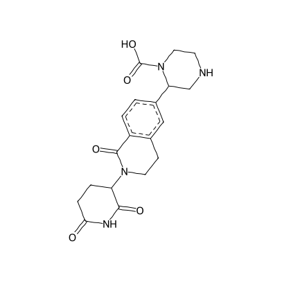 O=C1CCC(N2CCc3cc(C4CNCCN4C(=O)O)ccc3C2=O)C(=O)N1